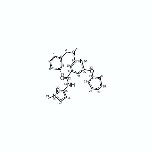 CN(Cc1ccccc1)c1cc(C(=O)Nc2ccn(C)n2)cc(Oc2ccccc2)n1